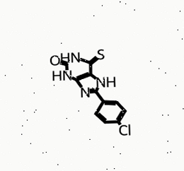 O=c1[nH]c(=S)c2[nH]c(-c3ccc(Cl)cc3)nc2[nH]1